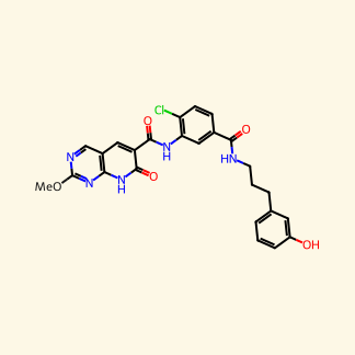 COc1ncc2cc(C(=O)Nc3cc(C(=O)NCCCc4cccc(O)c4)ccc3Cl)c(=O)[nH]c2n1